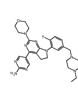 CCN1CCN(Cc2ccc(F)c(N3CCc4c(-c5cnc(N)nc5)nc(N5CCOCC5)nc43)c2)CC1